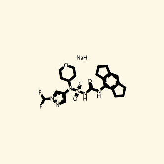 O=C(Nc1c2c(cc3c1CCC3)CCC2)NS(=O)(=O)N(c1cnn(C(F)F)c1)C1CCOCC1.[NaH]